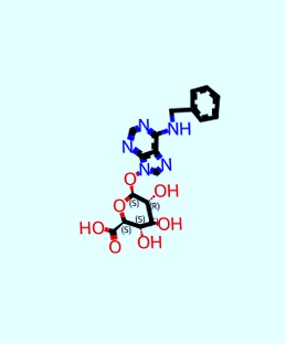 O=C(O)[C@H]1O[C@@H](On2cnc3c(NCc4ccccc4)ncnc32)[C@H](O)[C@@H](O)[C@@H]1O